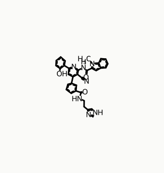 Cn1c(C(=O)Nc2nc(-c3ccccc3O)cc(-c3cccc(C(=O)NCCc4c[nH]cn4)c3)c2C#N)cc2ccccc21